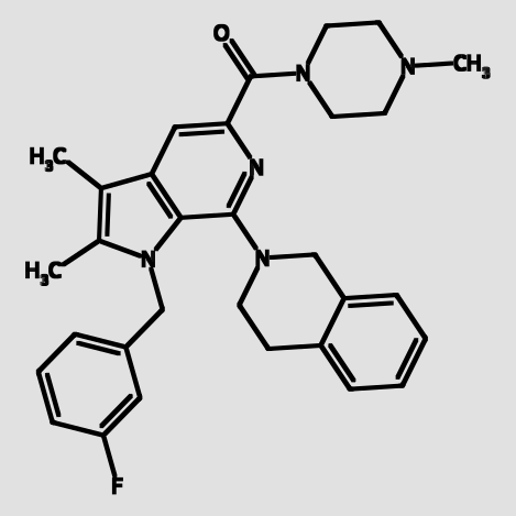 Cc1c(C)n(Cc2cccc(F)c2)c2c(N3CCc4ccccc4C3)nc(C(=O)N3CCN(C)CC3)cc12